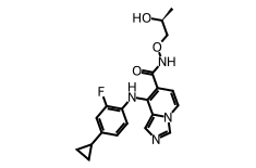 C[C@H](O)CONC(=O)c1ccn2cncc2c1Nc1ccc(C2CC2)cc1F